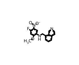 COc1cc(F)c([N+](=O)[O-])cc1NCc1cccc2ccncc12